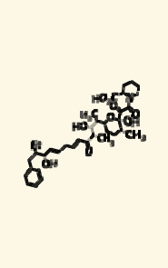 CC[C@H](Cc1ccccc1)[C@@H](O)/C=C/C/C=C/C(=O)[C@@H](C)[C@H](O)[C@@H](C)[C@@H]1CC[C@@H](C)[C@](O)(C(=O)C(=O)N2CCCCC2C(=O)O)O1